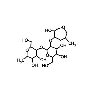 CC1COCC(O)C(OC2C(OC3C(CO)OC(C)C(O)C3O)OC(CO)C(O)C2O)C1